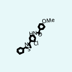 COc1ccc(C(=O)Nc2ccc(-c3csc(-c4ccccc4)n3)c(Cl)c2)cc1